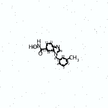 Cc1cccc(Cn2cnc3ccc(C(=O)NO)cc32)c1